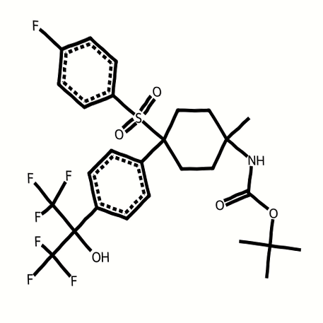 CC1(NC(=O)OC(C)(C)C)CCC(c2ccc(C(O)(C(F)(F)F)C(F)(F)F)cc2)(S(=O)(=O)c2ccc(F)cc2)CC1